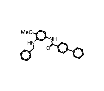 COc1ccc(NC(=O)c2ccc(-c3ccccc3)cc2)cc1NCc1ccccc1